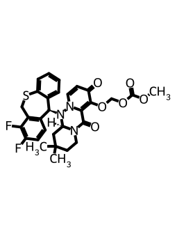 COC(=O)OCOc1c2n(ccc1=O)N([C@@H]1c3ccccc3SCc3c1ccc(F)c3F)[C@@H]1CC(C)(C)CCN1C2=O